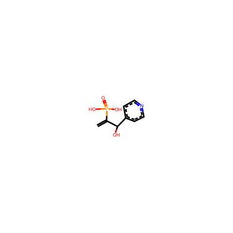 C=C(C(O)c1ccncc1)P(=O)(O)O